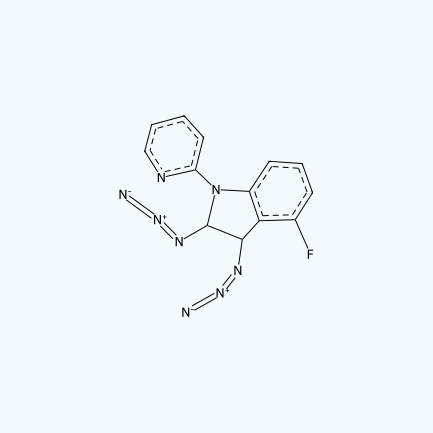 [N-]=[N+]=NC1c2c(F)cccc2N(c2ccccn2)C1N=[N+]=[N-]